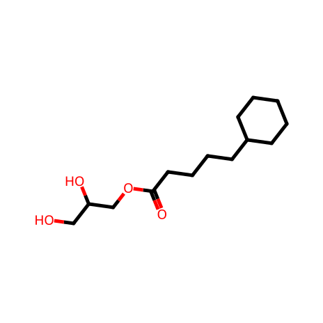 O=C(CCCCC1CCCCC1)OCC(O)CO